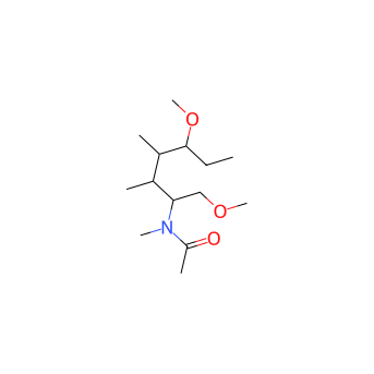 CCC(OC)C(C)C(C)C(COC)N(C)C(C)=O